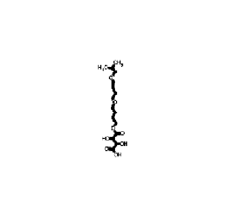 CC(C)COCCCCOCCCCOC(=O)C(O)C(O)C(=O)O